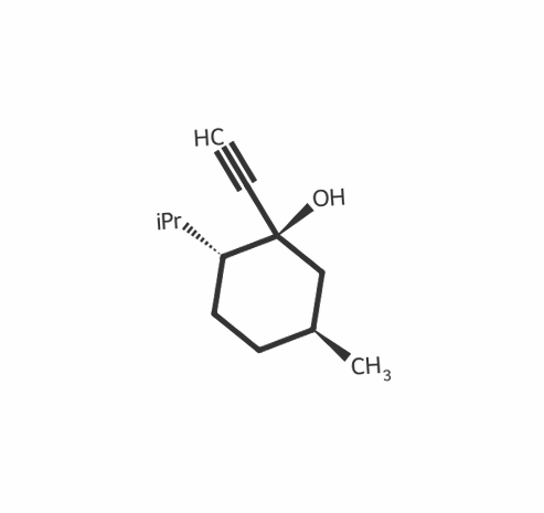 C#C[C@]1(O)C[C@@H](C)CC[C@@H]1C(C)C